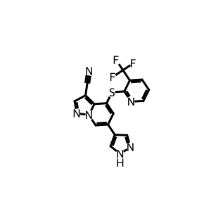 N#Cc1cnn2cc(-c3cn[nH]c3)cc(Sc3ncccc3C(F)(F)F)c12